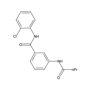 CCCC(=O)Nc1cccc(C(=O)Nc2ccccc2Cl)c1